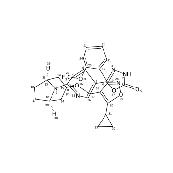 O=c1[nH]nc(-c2ccc(N3[C@@H]4CC[C@H]3C[C@@H](OCc3c(-c5ccccc5OC(F)(F)F)noc3C3CC3)C4)nc2)o1